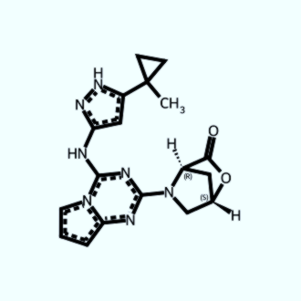 CC1(c2cc(Nc3nc(N4C[C@@H]5C[C@@H]4C(=O)O5)nc4cccn34)n[nH]2)CC1